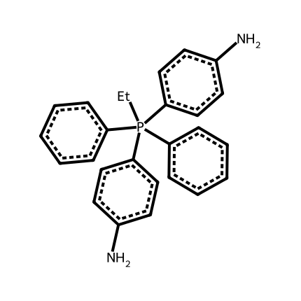 CCP(c1ccccc1)(c1ccccc1)(c1ccc(N)cc1)c1ccc(N)cc1